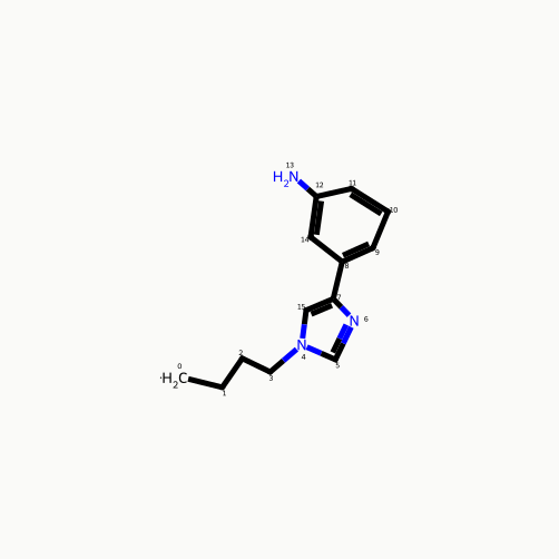 [CH2]CCCn1cnc(-c2cccc(N)c2)c1